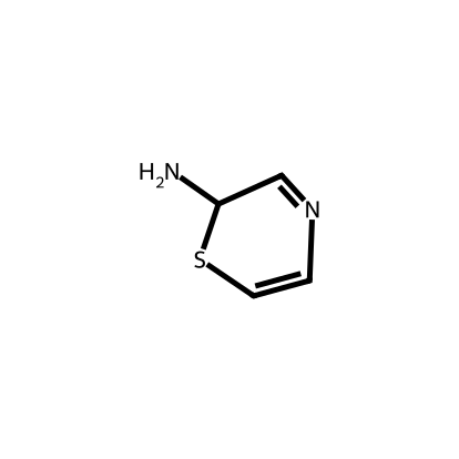 NC1C=NC=CS1